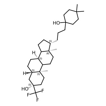 CC1(C)CCC(O)(CCC[C@H]2CCC3[C@@H]4CC[C@H]5C[C@](O)(C(F)(F)F)CC[C@]5(C)C4CC[C@@]32C)CC1